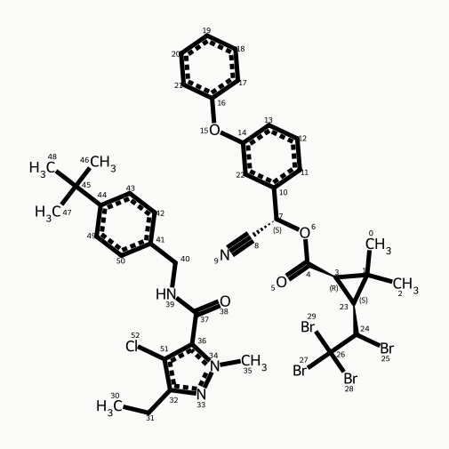 CC1(C)[C@H](C(=O)O[C@H](C#N)c2cccc(Oc3ccccc3)c2)[C@@H]1C(Br)C(Br)(Br)Br.CCc1nn(C)c(C(=O)NCc2ccc(C(C)(C)C)cc2)c1Cl